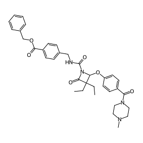 CCC1(CC)C(=O)N(C(=O)NCc2ccc(C(=O)OCc3ccccc3)cc2)C1Oc1ccc(C(=O)N2CCN(C)CC2)cc1